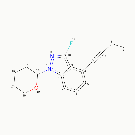 CCC#Cc1cccc2c1c(F)nn2C1CCCCO1